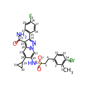 Cc1cc(CCS(=O)(=O)Nc2cn3nc(-c4ccc(F)cc4)c(C(N)=O)c3cc2C2CC2)ccc1Br